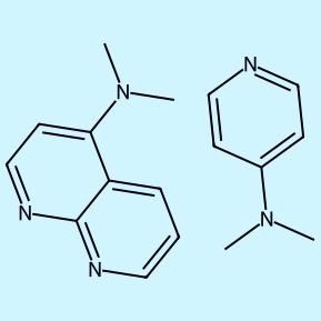 CN(C)c1ccnc2ncccc12.CN(C)c1ccncc1